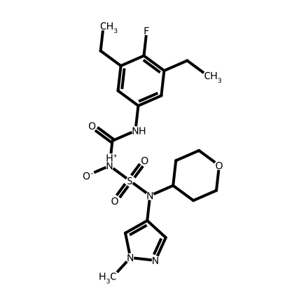 CCc1cc(NC(=O)[NH+]([O-])S(=O)(=O)N(c2cnn(C)c2)C2CCOCC2)cc(CC)c1F